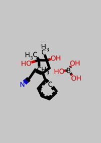 CC(C)(O)C(C)(O)CC(=CC#N)c1ccccc1.OB(O)O